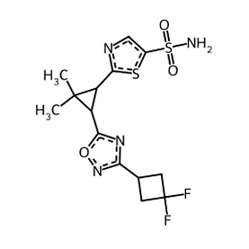 CC1(C)C(c2nc(C3CC(F)(F)C3)no2)C1c1ncc(S(N)(=O)=O)s1